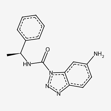 C[C@H](NC(=O)n1nnc2ccc(N)cc21)c1ccccc1